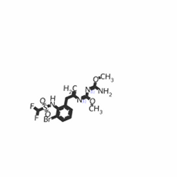 C=C(Cc1cccc(Br)c1NS(=O)(=O)C(F)F)/N=C(\N=C(/N)OC)OC